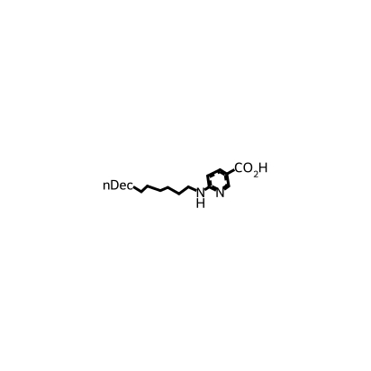 CCCCCCCCCCCCCCCCNc1ccc(C(=O)O)cn1